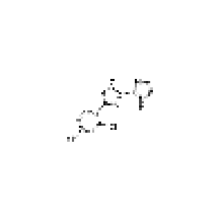 Clc1ccc(-c2c[nH]c(-c3ncc[nH]3)n2)c(Cl)c1